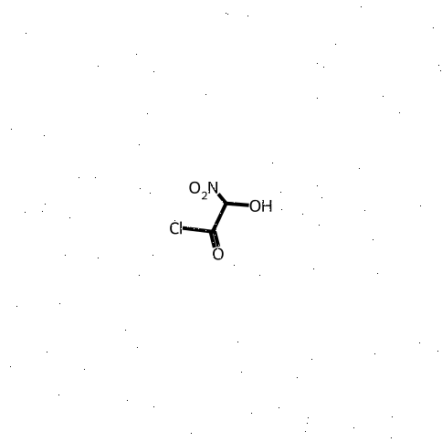 O=C(Cl)C(O)[N+](=O)[O-]